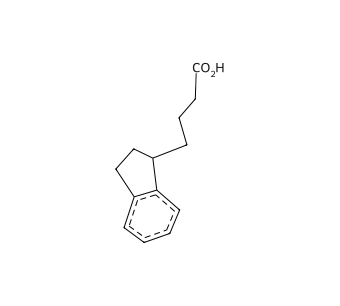 O=C(O)CCCC1CCc2ccccc21